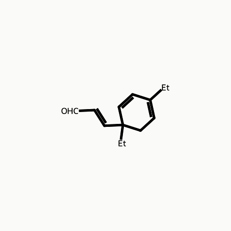 CCC1=CCC(C=CC=O)(CC)C=C1